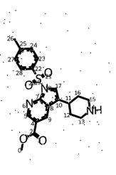 COC(=O)c1cnc2c(c1)c(C1CCNCC1)cn2S(=O)(=O)c1ccc(C)cc1